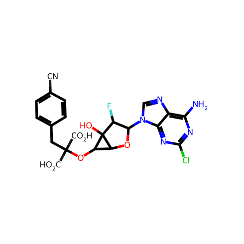 N#Cc1ccc(CC(OC2C3OC(n4cnc5c(N)nc(Cl)nc54)C(F)C32O)(C(=O)O)C(=O)O)cc1